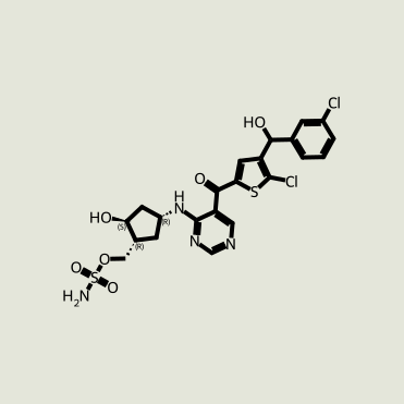 NS(=O)(=O)OC[C@H]1C[C@@H](Nc2ncncc2C(=O)c2cc(C(O)c3cccc(Cl)c3)c(Cl)s2)C[C@@H]1O